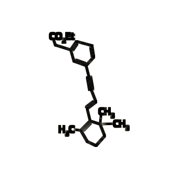 CCOC(=O)Cc1cccc(C#CC=CC2=C(C)CCCC2(C)C)c1